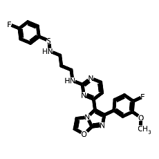 COc1cc(-c2nc3occn3c2-c2ccnc(NCCCNSc3ccc(F)cc3)n2)ccc1F